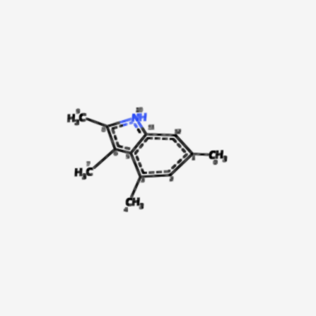 Cc1cc(C)c2c(C)c(C)[nH]c2c1